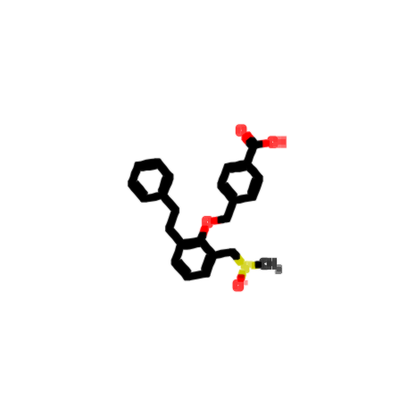 C[S+]([O-])Cc1cccc(CCc2ccccc2)c1OCc1ccc(C(=O)O)cc1